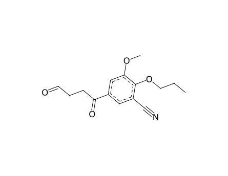 CCCOc1c(C#N)cc(C(=O)CCC=O)cc1OC